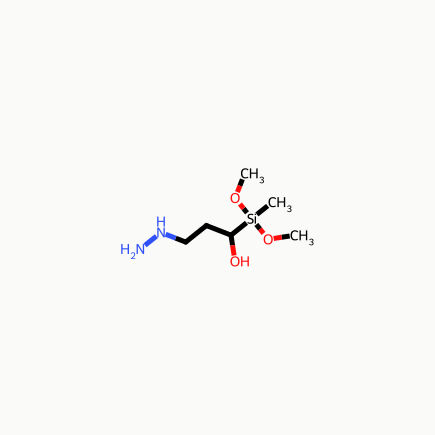 CO[Si](C)(OC)C(O)CCNN